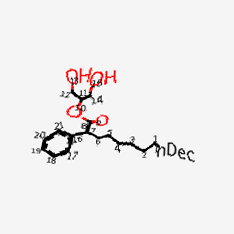 CCCCCCCCCCCCCCCCC(C(=O)OC(CO)CO)c1ccccc1